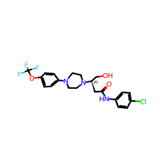 O=C(C[C@H](CO)N1CCN(c2ccc(OC(F)(F)F)cc2)CC1)Nc1ccc(Cl)cc1